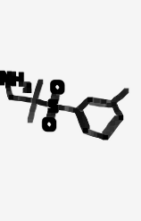 Cc1cccc(S(=O)(=O)C(C)(C)CN)c1